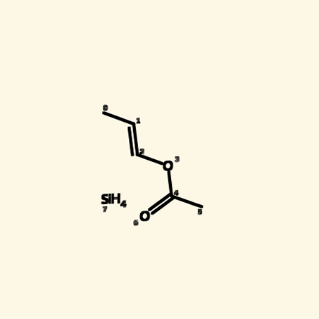 CC=COC(C)=O.[SiH4]